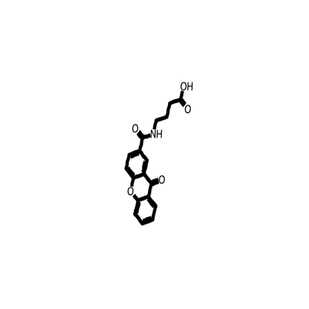 O=C(O)CCCNC(=O)c1ccc2oc3ccccc3c(=O)c2c1